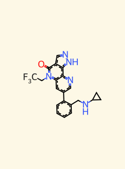 O=c1c2cn[nH]c2c2ncc(-c3ccccc3CNC3CC3)cc2n1CC(F)(F)F